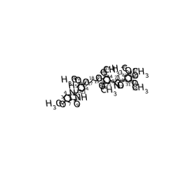 COc1ccc2c(c1)C(=O)NC(c1ccc(OCCCOc3c(OC)cc(-c4cc(-c5cc(OC)c(OC)c(OC)c5)on4)cc3OC)c(OC)c1)N2